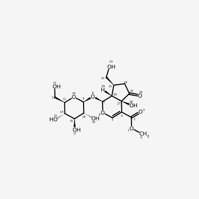 COC(=O)C1=CO[C@@H](O[C@@H]2O[C@H](CO)[C@@H](O)[C@H](O)[C@H]2O)[C@@H]2[C@@H](CO)CC(=O)[C@]12O